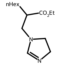 CCCCCCC(CN1C=NCC1)C(=O)OCC